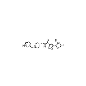 O=C(NCC1CCN(CC2=CC=CNC2)CC1)c1cc(-c2ccc(F)cc2F)on1